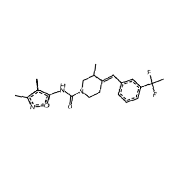 Cc1noc(NC(=O)N2CCC(=Cc3cccc(C(C)(F)F)c3)C(C)C2)c1C